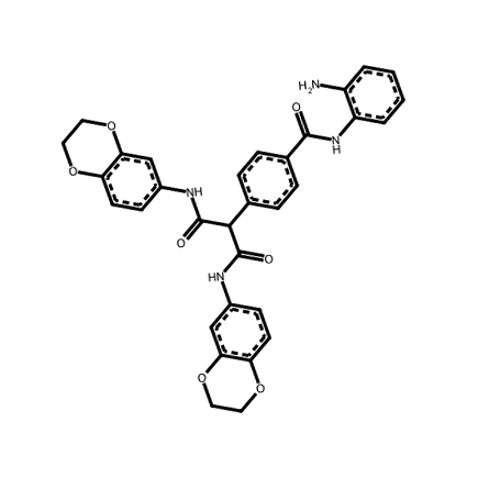 Nc1ccccc1NC(=O)c1ccc(C(C(=O)Nc2ccc3c(c2)OCCO3)C(=O)Nc2ccc3c(c2)OCCO3)cc1